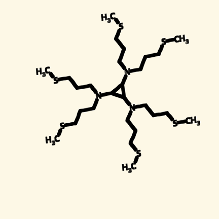 CSCCCN(CCCSC)C1C(N(CCCSC)CCCSC)C1N(CCCSC)CCCSC